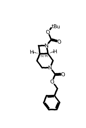 CC(C)(C)OC(=O)N1C[C@@H]2CCN(C(=O)OCc3ccccc3)C[C@@H]21